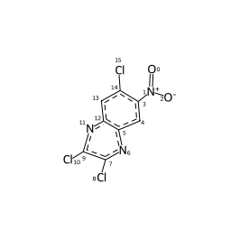 O=[N+]([O-])c1cc2nc(Cl)c(Cl)nc2cc1Cl